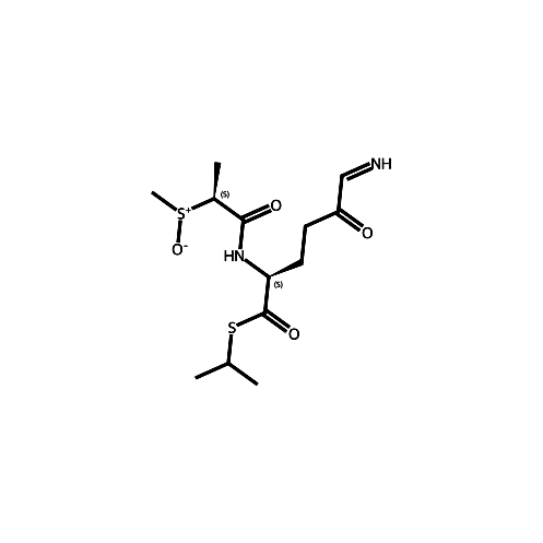 CC(C)SC(=O)[C@H](CCC(=O)C=N)NC(=O)[C@H](C)[S+](C)[O-]